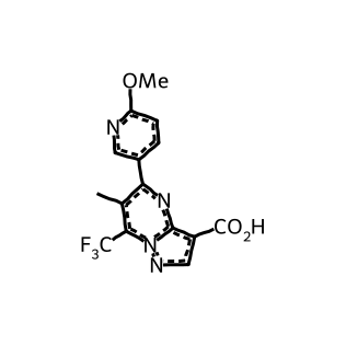 COc1ccc(-c2nc3c(C(=O)O)cnn3c(C(F)(F)F)c2C)cn1